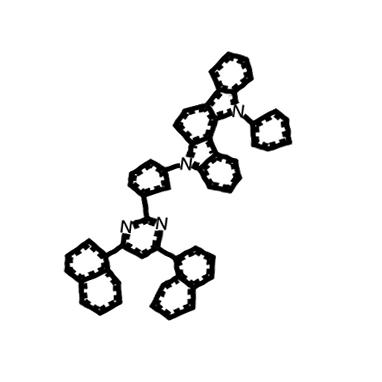 c1ccc(-n2c3ccccc3c3ccc4c(c5ccccc5n4-c4cccc(-c5nc(-c6cccc7ccccc67)cc(-c6cccc7ccccc67)n5)c4)c32)cc1